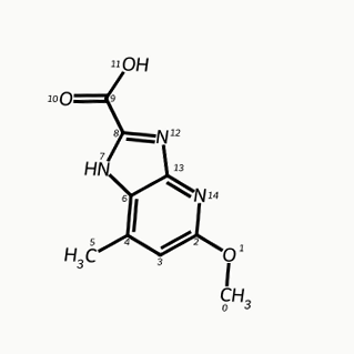 COc1cc(C)c2[nH]c(C(=O)O)nc2n1